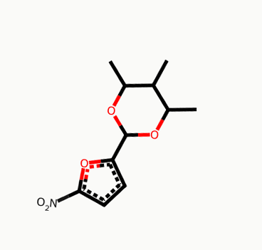 CC1OC(c2ccc([N+](=O)[O-])o2)OC(C)C1C